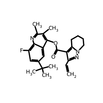 C=Cc1nn2c(c1C(=O)Oc1c(C)c(C)nc3c(F)cc(C(C)(C)C)cc13)CCCC2